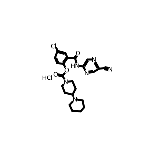 Cl.N#Cc1cnc(NC(=O)c2cc(Cl)ccc2OC(=O)N2CCC(N3CCCCC3)CC2)cn1